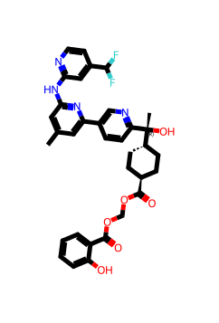 Cc1cc(Nc2cc(C(F)F)ccn2)nc(-c2ccc([C@](C)(O)[C@H]3CC[C@H](C(=O)OCOC(=O)c4ccccc4O)CC3)nc2)c1